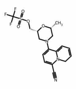 C[C@@H]1CN(C2=CC=C(C#N)N3CC=CC=C23)C[C@H](COS(=O)(=O)C(F)(F)F)O1